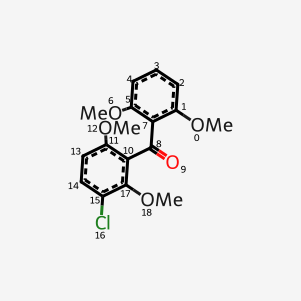 COc1cccc(OC)c1C(=O)c1c(OC)ccc(Cl)c1OC